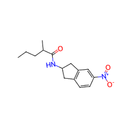 CCCC(C)C(=O)NC1Cc2ccc([N+](=O)[O-])cc2C1